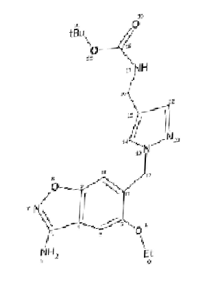 CCOc1cc2c(N)noc2cc1Cn1cc(CNC(=O)OC(C)(C)C)cn1